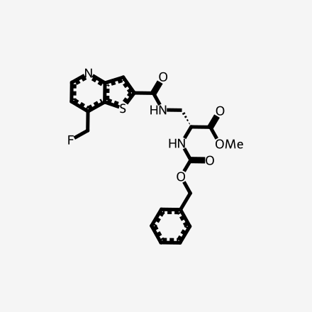 COC(=O)[C@@H](CNC(=O)c1cc2nccc(CF)c2s1)NC(=O)OCc1ccccc1